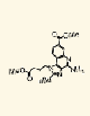 CCCCc1nc2c(N)nc3cc(C(=O)OC)ccc3c2n1CCCC(=O)OC